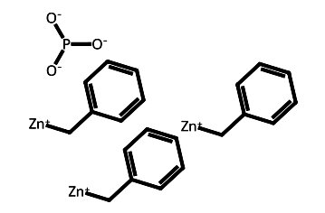 [O-]P([O-])[O-].[Zn+][CH2]c1ccccc1.[Zn+][CH2]c1ccccc1.[Zn+][CH2]c1ccccc1